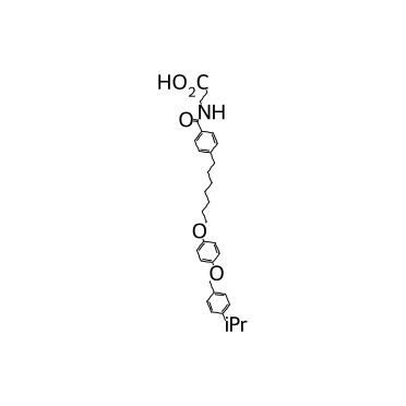 CC(C)c1ccc(COc2ccc(OCCCCCCCc3ccc(C(=O)NCCC(=O)O)cc3)cc2)cc1